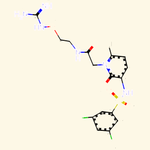 Cc1ccc(NS(=O)(=O)c2cc(Cl)cc(Cl)c2)c(=O)n1CC(=O)NCCONC(=N)N